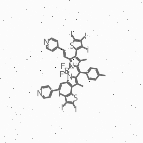 CC1=C(c2sc(I)c(I)c2I)C(/C=C/c2ccncc2)=[N+]2C1=C(c1ccc(C)cc1)c1c(C)c(-c3sc(I)c(I)c3I)c(/C=C/c3ccncc3)n1[B-]2(F)F